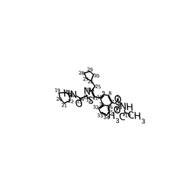 CC(C)NS(=O)(=O)c1ccc(-c2sc(C(=O)NC3CCCCC3)nc2CC2CCCC2)c2ccccc12